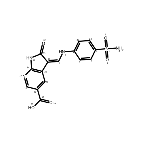 NS(=O)(=O)c1ccc(N/C=C2\C(=O)Nc3ncc(C(=O)O)cc32)cc1